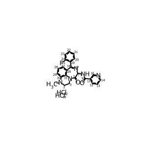 CN1CCN2C(=O)C(NC(=O)c3cccnc3)N=C(c3ccccc3F)c3cccc1c32.Cl.Cl